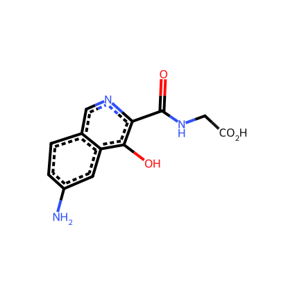 Nc1ccc2cnc(C(=O)NCC(=O)O)c(O)c2c1